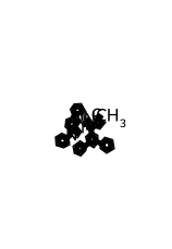 CC1(C)C=Cc2c(-c3cc(-c4ccccc4)cc(-c4ccccc4)c3)nc(-n3c4ccccc4c4ccc5c(ccn5-c5ccccc5)c43)nc21